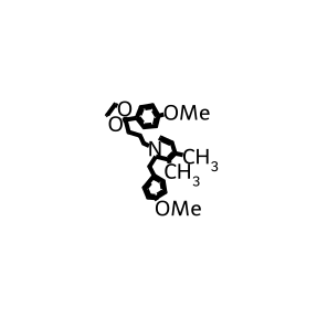 COc1ccc(CC2C(C)=C(C)C=CN2CCCC2(c3ccc(OC)cc3)OCCO2)cc1